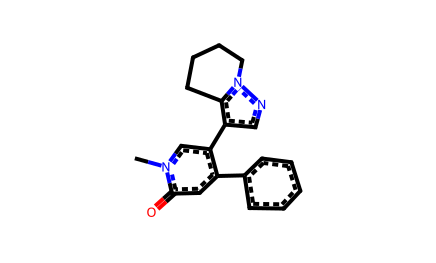 Cn1cc(-c2cnn3c2CCCC3)c(-c2ccccc2)cc1=O